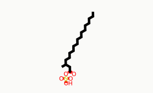 CCCCCCCCCCCCCCCC(C)CC(=O)OS(=O)(=O)O